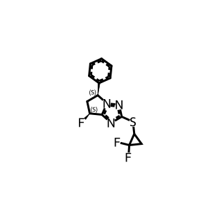 F[C@H]1C[C@@H](c2ccccc2)n2nc(SC3CC3(F)F)nc21